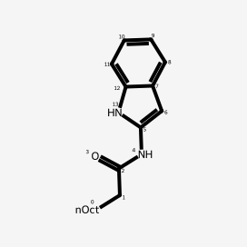 CCCCCCCCCC(=O)Nc1cc2ccccc2[nH]1